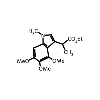 CCOC(=O)C(C)c1cn(C)c2cc(OC)c(OC)c(OC)c12